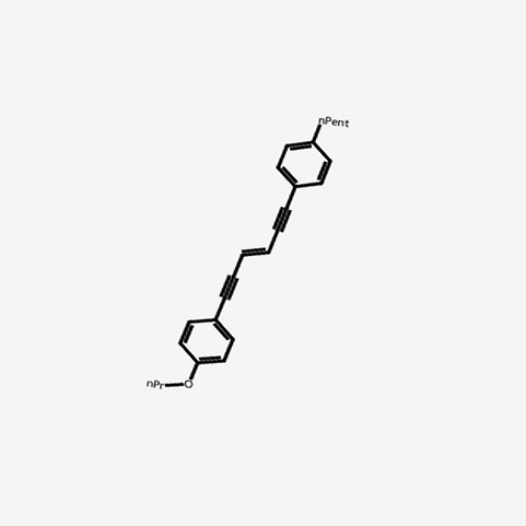 CCCCCc1ccc(C#CC=CC#Cc2ccc(OCCC)cc2)cc1